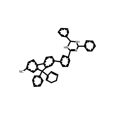 N#Cc1ccc2c(c1)C(C1=CCCC=C1)(c1ccccc1)c1cc(-c3cccc(C4=NC(c5ccccc5)NC(c5ccccc5)N4)c3)ccc1-2